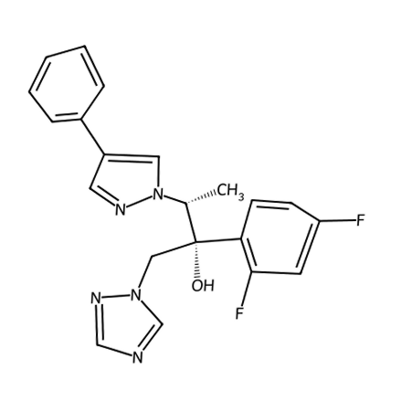 C[C@@H](n1cc(-c2ccccc2)cn1)[C@](O)(Cn1cncn1)c1ccc(F)cc1F